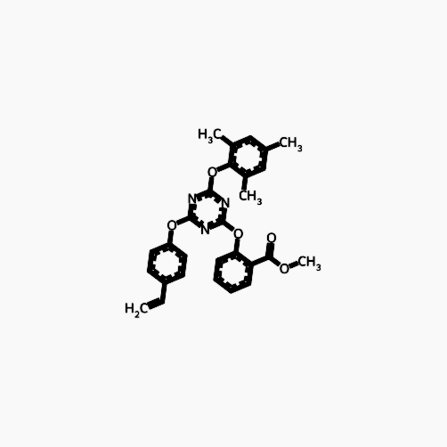 C=Cc1ccc(Oc2nc(Oc3ccccc3C(=O)OC)nc(Oc3c(C)cc(C)cc3C)n2)cc1